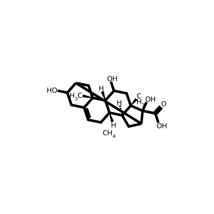 C.C[C@]12CC3C(O)CC1=CC[C@@H]1[C@H]2C(O)C[C@@]2(C)[C@H]1CC3C2(O)C(=O)O